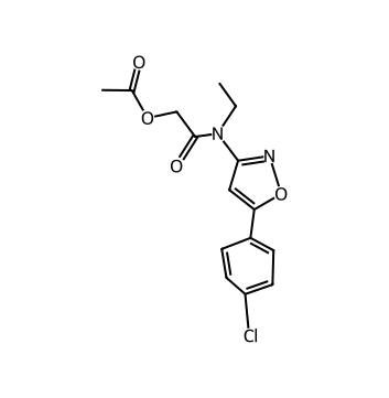 CCN(C(=O)COC(C)=O)c1cc(-c2ccc(Cl)cc2)on1